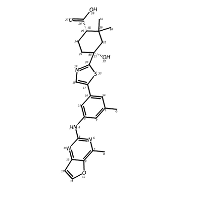 Cc1cc(Nc2nc(C)c3occc3n2)cc(-c2cnc([C@@]3(O)CC[C@H](C(=O)O)C(C)(C)C3)s2)c1